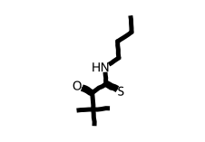 CCCCNC(=S)C(=O)C(C)(C)C